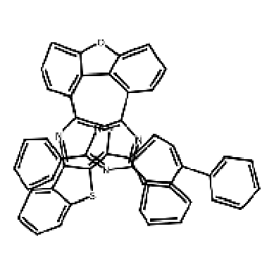 c1ccc(-c2ccc(-c3nc(-c4cccc5oc6cccc(-c7nc(-c8ccccc8)nc(-c8ccccc8)n7)c6c45)nc4c3sc3ccccc34)cc2)cc1